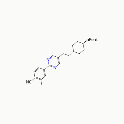 CCCCC[C@H]1CC[C@H](CCc2cnc(-c3ccc(C#N)c(C)c3)nc2)CC1